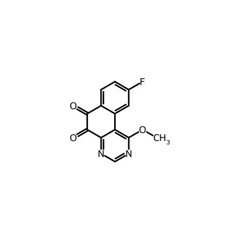 COc1ncnc2c1-c1cc(F)ccc1C(=O)C2=O